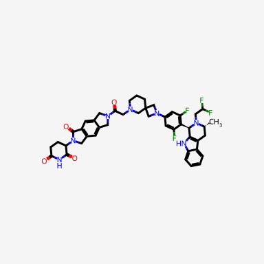 C[C@@H]1Cc2c([nH]c3ccccc23)[C@@H](c2c(F)cc(N3CC4(CCCN(CC(=O)N5Cc6cc7c(cc6C5)C(=O)N(C5CCC(=O)NC5=O)C7)C4)C3)cc2F)N1CC(F)F